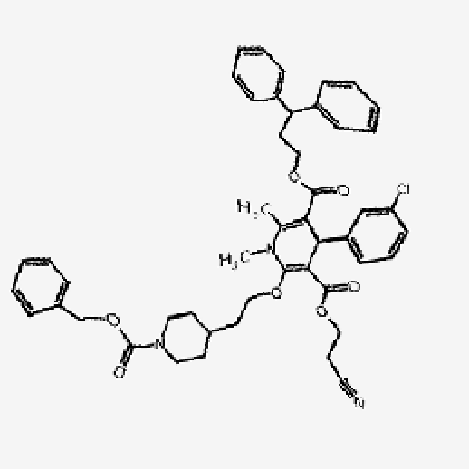 CC1=C(C(=O)OCCC(c2ccccc2)c2ccccc2)C(c2cccc(Cl)c2)C(C(=O)OCCC#N)=C(OCCC2CCN(C(=O)OCc3ccccc3)CC2)N1C